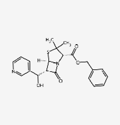 CC1(C)S[C@@H]2[C@@H](C(O)c3cccnc3)C(=O)N2[C@H]1C(=O)OCc1ccccc1